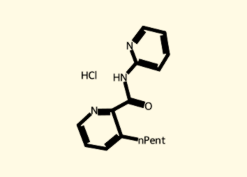 CCCCCc1cccnc1C(=O)Nc1ccccn1.Cl